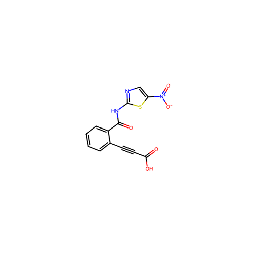 O=C(O)C#Cc1ccccc1C(=O)Nc1ncc([N+](=O)[O-])s1